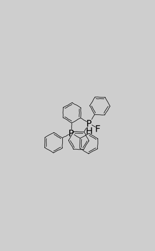 F[PH](c1ccccc1)(c1ccccc1)c1ccccc1P(c1ccccc1)c1ccccc1